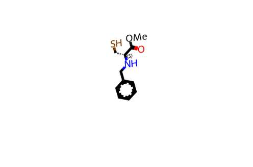 COC(=O)[C@@H](CS)NCc1ccccc1